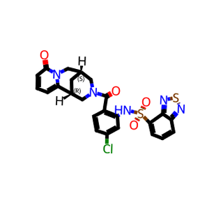 O=C(c1ccc(Cl)cc1NS(=O)(=O)c1cccc2nsnc12)N1C[C@@H]2C[C@H](C1)c1cccc(=O)n1C2